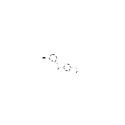 CC(C)(C(=O)c1ccc(NC(=O)O)cn1)c1cc(Cl)cc(C#N)c1